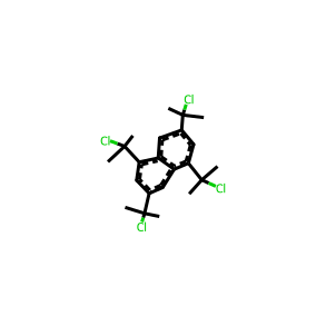 CC(C)(Cl)c1cc(C(C)(C)Cl)c2cc(C(C)(C)Cl)cc(C(C)(C)Cl)c2c1